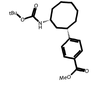 COC(=O)c1ccc([C@H]2CCCCC[C@@H](NC(=O)OC(C)(C)C)C2)cc1